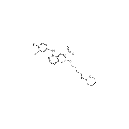 O=[N+]([O-])c1cc2c(Nc3ccc(F)c(Cl)c3)ncnc2cc1OCCCCOC1CCCCO1